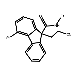 CCCc1cccc2c1-c1ccccc1C2(CCC#N)C(=O)NCC